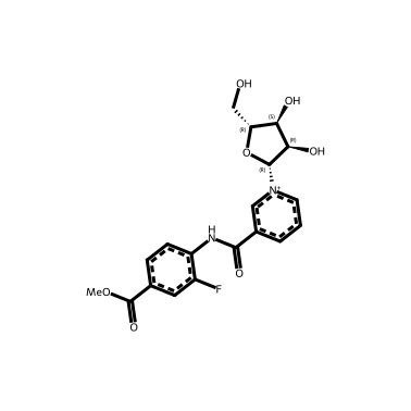 COC(=O)c1ccc(NC(=O)c2ccc[n+]([C@@H]3O[C@H](CO)[C@@H](O)[C@H]3O)c2)c(F)c1